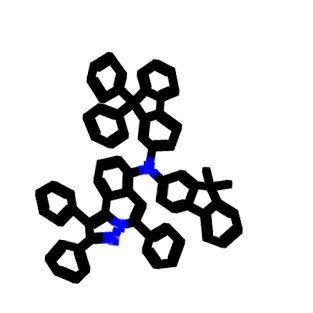 CC1(C)c2ccccc2-c2ccc(N(c3ccc4c(c3)C(c3ccccc3)(c3ccccc3)c3ccccc3-4)c3cccc4c3cc(-c3ccccc3)n3nc(-c5ccccc5)c(-c5ccccc5)c43)cc21